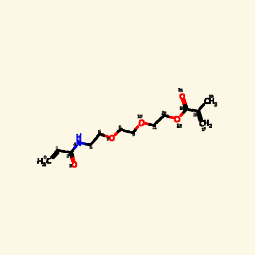 C=CC(=O)NCCOCCOCCOC(=O)C(=C)C